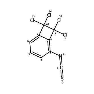 S=C=Nc1cccc2c1C(Cl)(Cl)C2(Cl)Cl